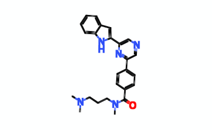 CN(C)CCCN(C)C(=O)c1ccc(-c2cncc(-c3cc4ccccc4[nH]3)n2)cc1